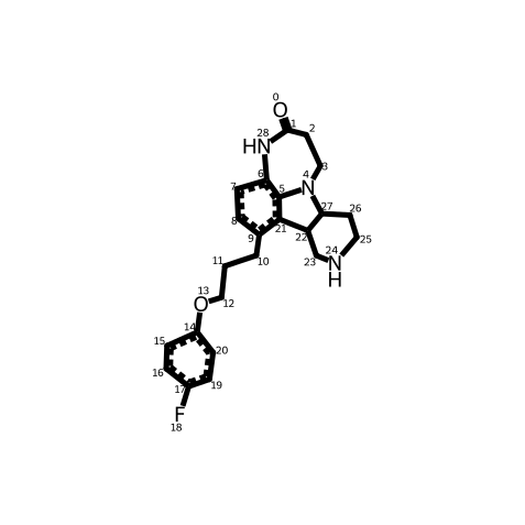 O=C1CCN2c3c(ccc(CCCOc4ccc(F)cc4)c3C3CNCCC32)N1